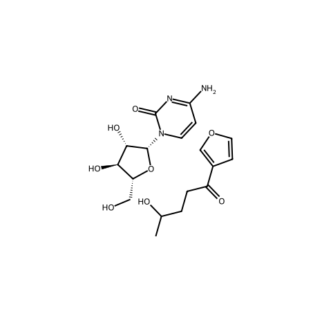 CC(O)CCC(=O)c1ccoc1.Nc1ccn([C@@H]2O[C@H](CO)[C@@H](O)[C@@H]2O)c(=O)n1